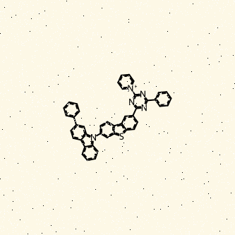 c1ccc(-c2ccc3c4ccccc4n(-c4ccc5c(c4)sc4ccc(-c6nc(-c7ccccc7)nc(-[n+]7ccccc7)n6)cc45)c3c2)cc1